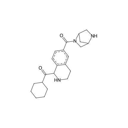 O=C(C1CCCCC1)C1NCCc2cc(C(=O)N3CC4CC3CN4)ccc21